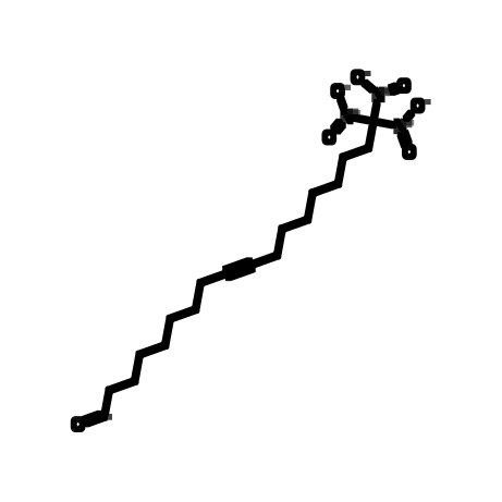 O=[C]CCCCCCCC#CCCCCCCCC([N+](=O)[O-])([N+](=O)[O-])[N+](=O)[O-]